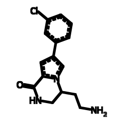 NCCC1CNC(=O)c2cc(-c3cccc(Cl)c3)cn21